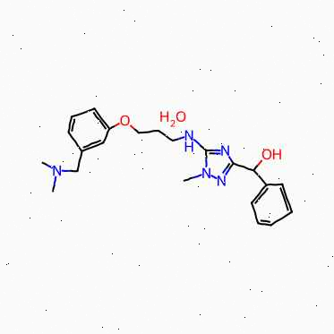 CN(C)Cc1cccc(OCCCNc2nc(C(O)c3ccccc3)nn2C)c1.O